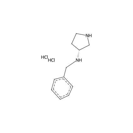 Cl.Cl.c1ccc(CN[C@@H]2CCNC2)cc1